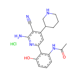 CC(=O)Nc1cccc(O)c1-c1cc(C2CCCNC2)c(C#N)c(N)n1.Cl